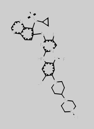 CCc1cc(Nc2ncc(Br)c(Nc3ccc4nccnc4c3N(C3CC3)S(C)(=O)=O)n2)c(OC(F)(F)F)cc1N1CCC(N2CCN(C)CC2)CC1